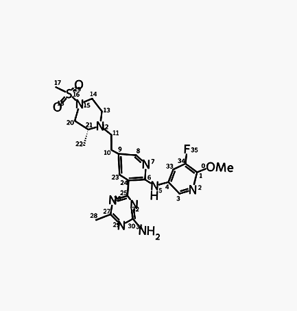 COc1ncc(Nc2ncc(CCN3CCN(S(C)(=O)=O)C[C@H]3C)cc2-c2nc(C)nc(N)n2)cc1F